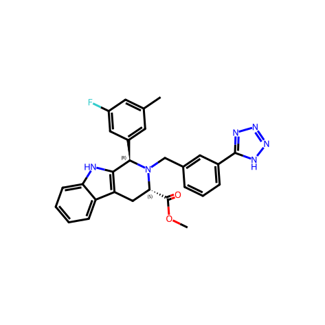 COC(=O)[C@@H]1Cc2c([nH]c3ccccc23)[C@@H](c2cc(C)cc(F)c2)N1Cc1cccc(-c2nnn[nH]2)c1